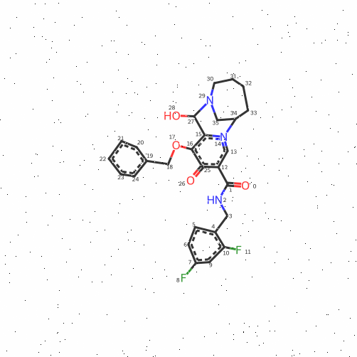 O=C(NCc1ccc(F)cc1F)c1cn2c(c(OCc3ccccc3)c1=O)C(O)N1CCCCC2C1